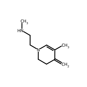 C=C1CCN(CCNC)C=C1C